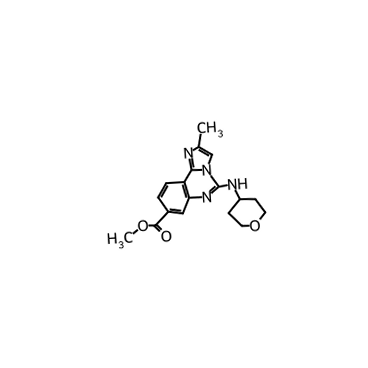 COC(=O)c1ccc2c(c1)nc(NC1CCOCC1)n1cc(C)nc21